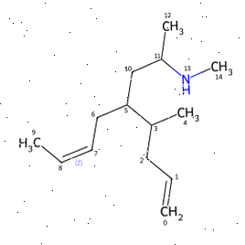 C=CCC(C)C(C/C=C\C)CC(C)NC